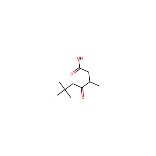 CC(CC(=O)O)C(=O)CC(C)(C)C